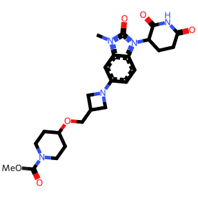 COC(=O)N1CCC(OCC2CN(c3ccc4c(c3)n(C)c(=O)n4C3CCC(=O)NC3=O)C2)CC1